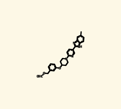 Cc1ccc2[nH]c(-c3ccc(N4CCC(Oc5cccc(COC=O)c5)CC4)nc3)nc2c1